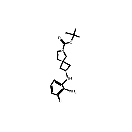 CC(C)(C)OC(=O)N1CC[C@]2(C1)C[C@H](Nc1cccc(Cl)c1N)C2